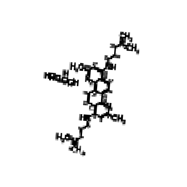 Cc1cc(NCCCN(C)C)c2ccc3c(ccc4c(NCCCN(C)C)cc(C)nc43)c2n1.Cl.Cl.Cl.Cl